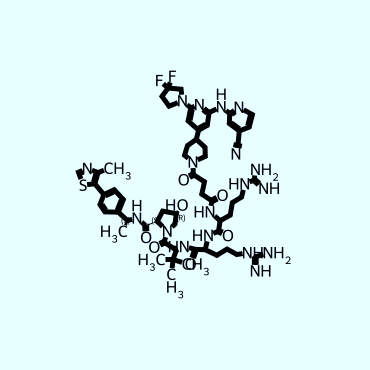 Cc1ncsc1-c1ccc([C@H](C)NC(=O)[C@@H]2C[C@@H](O)CN2C(=O)C(NC(=O)C(CCCNC(=N)N)NC(=O)C(CCCNC(=N)N)NC(=O)CCC(=O)N2CCC(c3cc(Nc4cc(C#N)ccn4)nc(N4CCC(F)(F)C4)c3)CC2)C(C)(C)C)cc1